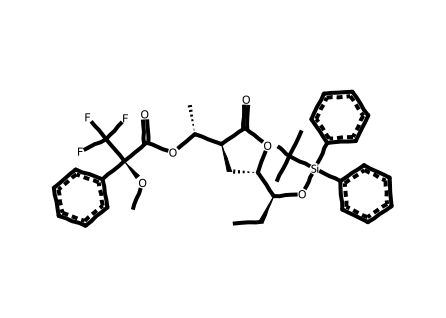 CC[C@H](O[Si](c1ccccc1)(c1ccccc1)C(C)(C)C)[C@@H]1C[C@@H]([C@@H](C)OC(=O)[C@](OC)(c2ccccc2)C(F)(F)F)C(=O)O1